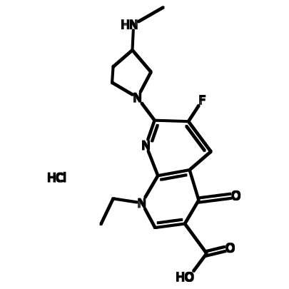 CCn1cc(C(=O)O)c(=O)c2cc(F)c(N3CCC(NC)C3)nc21.Cl